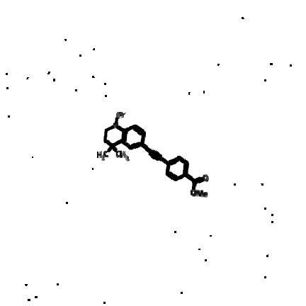 COC(=O)c1ccc(C#Cc2ccc3c(c2)C(C)(C)CCN3C(C)C)cc1